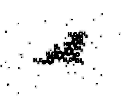 COc1ccc(N2CCN(c3cc(C(=O)N(C)C)cc(Nc4cc(C(C)(C)C)nn4C)n3)CC2(C)C)cc1